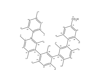 Cc1cc(C)c(-c2c(C)cc(C)c(-c3c(C)cc(C)c(-c4c(C)cc(C)c(-c5c(C)cc(C(=O)O)cc5C)c4C)c3C)c2C)c(C)c1